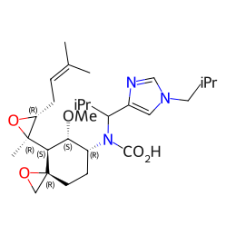 CO[C@@H]1[C@H](N(C(=O)O)C(c2cn(CC(C)C)cn2)C(C)C)CC[C@]2(CO2)[C@H]1[C@@]1(C)O[C@@H]1CC=C(C)C